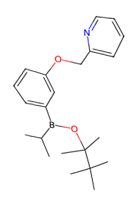 CC(C)B(OC(C)(C)C(C)(C)C)c1cccc(OCc2ccccn2)c1